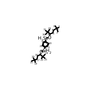 CC(C)(C)CCC(O[SiH2]c1ccc([SiH2]OC(CCC(C)(C)C)C(C)(C)C)cc1)C(C)(C)C